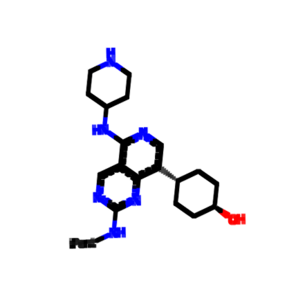 CCCC(C)Nc1ncc2c(NC3CCNCC3)ncc([C@H]3CC[C@H](O)CC3)c2n1